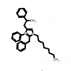 CCCCCCCCn1cc(CC(C)c2ccccc2)[n+](-c2ccccc2)c1Cc1ccccc1